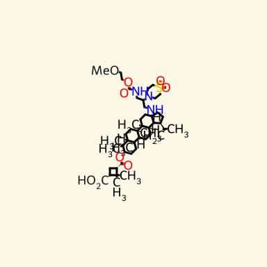 C=C(C)[C@@H]1CC[C@]2(NCC(CNC(=O)OCCOC)N3CCS(=O)(=O)CC3)CC[C@]3(C)[C@H](CC[C@@H]4[C@@]5(C)CC[C@H](OC(=O)[C@H]6C[C@@H](C(=O)O)C6(C)C)C(C)(C)[C@@H]5CC[C@]43C)[C@@H]12